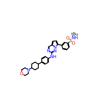 CC(C)(C)NS(=O)(=O)c1cccc(-c2ccc3cnc(Nc4ccc(C5CCC(N6CCOCC6)CC5)cc4)nn23)c1